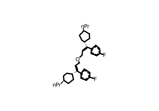 CCC[C@H]1CC[C@H](C(=CCOCC=C(c2ccc(F)cc2)[C@H]2CC[C@H](CCC)CC2)c2ccc(F)cc2)CC1